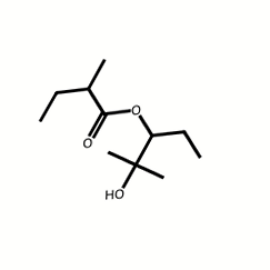 CCC(C)C(=O)OC(CC)C(C)(C)O